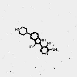 CC(C)c1c(-c2ccnc(N)c2N)[nH]c2ccc(C3CCNCC3)cc12